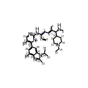 C=N/C(=C\C=C(/C)C(NC)C1CCN(CC)CC1)Nc1ncc(F)c(-c2cc(F)c3nc(C)n(C(C)C)c3c2)n1